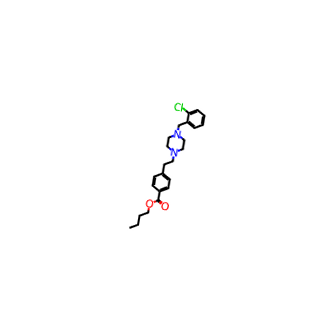 CCCCOC(=O)c1ccc(CCN2CCN(Cc3ccccc3Cl)CC2)cc1